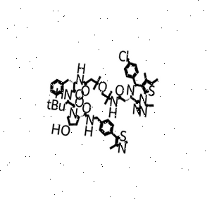 Cc1ncsc1-c1ccc(CNC(=O)[C@@H]2C[C@@H](O)CN2C(=O)C(NC(=O)[C@H](Cc2ccccc2)NC(=O)CC(C)(C)OCC(C)(C)NC(=O)C[C@@H]2N=C(c3ccc(Cl)cc3)c3c(sc(C)c3C)-n3c(C)nnc32)C(C)(C)C)cc1